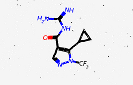 N=C(N)NC(=O)c1cnn(C(F)(F)F)c1C1CC1